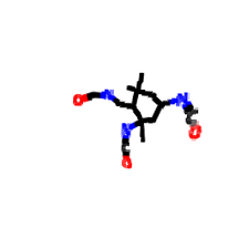 CC1(C)CC(N=C=O)CC(C)(N=C=O)C1CN=C=O